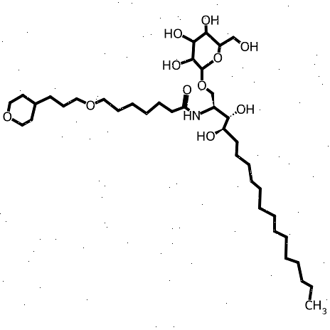 CCCCCCCCCCCCCC[C@@H](O)[C@@H](O)[C@H](COC1OC(CO)C(O)C(O)C1O)NC(=O)CCCCCCOCCCC1CCOCC1